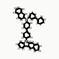 c1ccc(-c2cccc(N(c3ccc(-c4ccc(-n5c6ccccc6c6cc7ccccc7cc65)cc4)cc3)c3ccc4ccccc4c3)c2)cc1